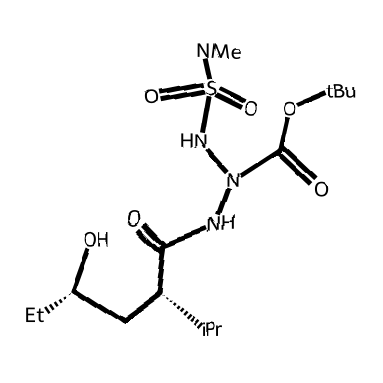 CC[C@H](O)C[C@H](C(=O)NN(NS(=O)(=O)NC)C(=O)OC(C)(C)C)C(C)C